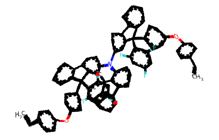 C=Cc1ccc(Oc2ccc(C3(c4c(F)cc(F)cc4F)c4ccccc4-c4ccc(N(c5ccc6c(c5)C(c5ccc(Oc7ccc(C=C)cc7)cc5)(c5c(F)cc(F)cc5F)c5ccccc5-6)c5cccc6c5C(C)(C)c5ccccc5-6)cc43)cc2)cc1